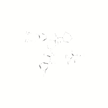 COc1ccc([C@@]23CC[C@@H](NC(=O)Nc4cccc(F)c4)C[C@@H]2N(C2CCCCC2)CC3)cc1OC.O=C(O)C(F)(F)F